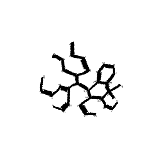 C=C\C=C/C(=C\C=C)/C(C(=C/C=C\C)/C=C\C)=C1C(/C=C\C)=C(/C=C\C)C(C)(C)c2ccccc2/1